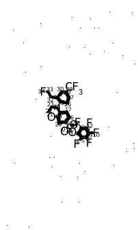 O=S(=O)(Oc1c(F)c(F)c(F)c(F)c1F)c1ccc2c(c1)OCC[C@@H]2c1ccc(C(F)(F)F)cc1CCF